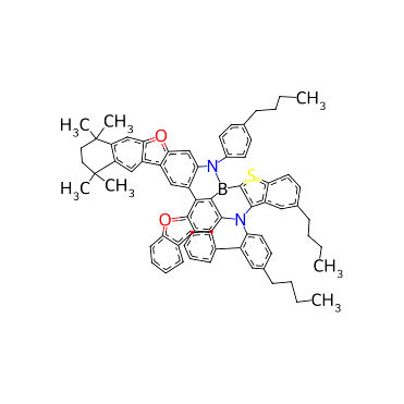 CCCCc1ccc(N2B3c4sc5ccc(CCCC)cc5c4N(c4ccc(CCCC)cc4-c4ccccc4)c4cc5c(oc6ccccc65)c(c43)-c3cc4c(cc32)oc2cc3c(cc24)C(C)(C)CCC3(C)C)cc1